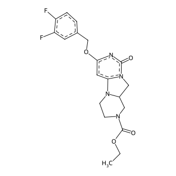 CCOC(=O)N1CCN2c3cc(OCc4ccc(F)c(F)c4)nc(=O)n3CC2C1